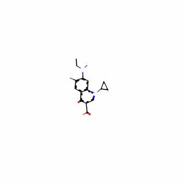 CCN(C)c1cc2c(cc1F)c(=O)c(C(=O)O)cn2C1CC1